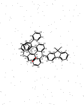 CC1(C)c2ccccc2-c2ccc(N(c3ccccc3)c3cccc(-c4ccccc4-c4ccccc4)c3-c3cccc4sc5ccccc5c34)cc21